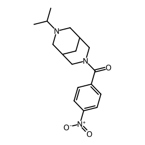 CC(C)N1CC2CC(CN(C(=O)c3ccc([N+](=O)[O-])cc3)C2)C1